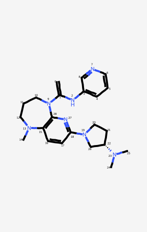 C=C(Nc1cccnc1)N1CCCN(C)c2ccc(N3CC[C@H](N(C)C)C3)nc21